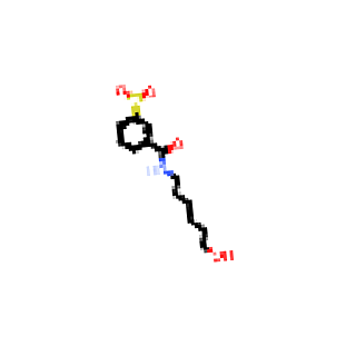 O=C(NCCCCCCO)c1cccc([SH](=O)=O)c1